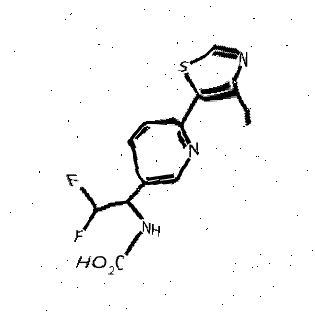 Cc1ncsc1-c1ccc(C(NC(=O)O)C(F)F)cn1